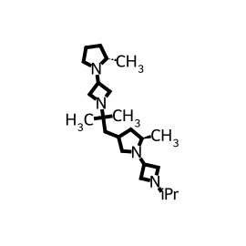 CC(C)N1CC(N2CC(CC(C)(C)N3CC(N4CCC[C@@H]4C)C3)C[C@H]2C)C1